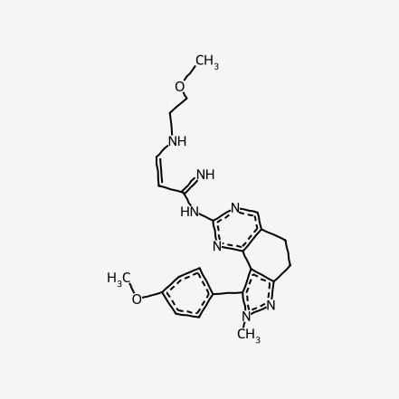 COCCN/C=C\C(=N)Nc1ncc2c(n1)-c1c(nn(C)c1-c1ccc(OC)cc1)CC2